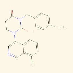 COc1ccc(CN2C(=O)CCN(c3cncc4c(Cl)cccc34)C2O)cc1